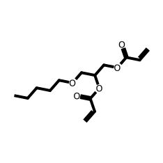 C=CC(=O)OCC(COCCCCC)OC(=O)C=C